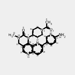 CC(=O)N1CCC(N2C(=O)N(C)Cc3cnc4ccc(-c5ccc(N)nc5)nc4c32)CC1